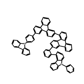 c1ccc(-n2c3ccccc3c3c(-c4ccccc4-c4ccc5c(c4)c4ccccc4c4cccc(-c6ccc7c8cc(-c9ccc(-n%10c%11ccccc%11c%11ccccc%11%10)cc9)ccc8c8ccccc8c7c6)c45)cccc32)cc1